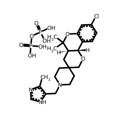 Cc1nc[nH]c1CN1CCC2(CC1)CO[C@H]1c3ccc(Cl)cc3OC(C)(C)[C@@H]1C2.O=P(O)(O)OP(=O)(O)O